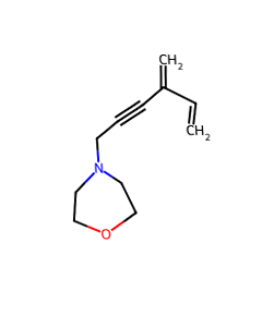 C=CC(=C)C#CCN1CCOCC1